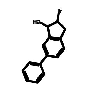 OC1c2cc(-c3ccccc3)ccc2CC1Br